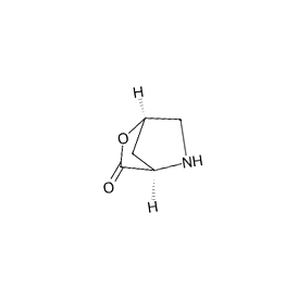 O=C1O[C@H]2CN[C@@H]1C2